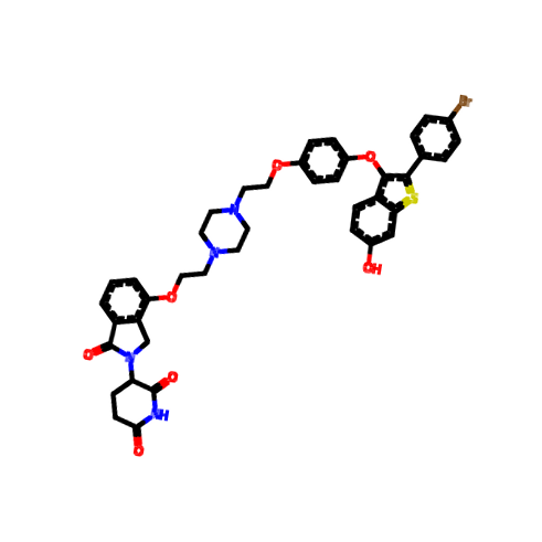 O=C1CCC(N2Cc3c(OCCN4CCN(CCOc5ccc(Oc6c(-c7ccc(Br)cc7)sc7cc(O)ccc67)cc5)CC4)cccc3C2=O)C(=O)N1